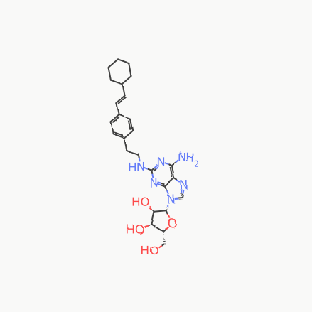 Nc1nc(NCCc2ccc(C=CC3CCCCC3)cc2)nc2c1ncn2[C@@H]1O[C@H](CO)[C@@H](O)[C@H]1O